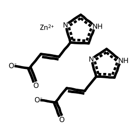 O=C([O-])C=Cc1c[nH]cn1.O=C([O-])C=Cc1c[nH]cn1.[Zn+2]